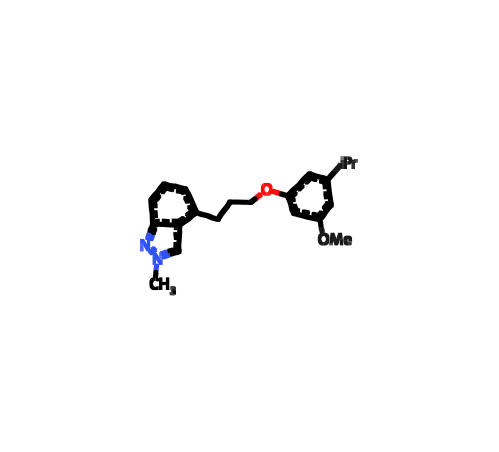 COc1cc(OCCCc2cccc3nn(C)cc23)cc(C(C)C)c1